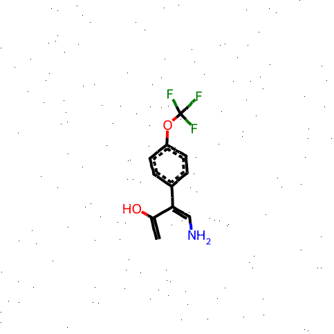 C=C(O)/C(=C\N)c1ccc(OC(F)(F)F)cc1